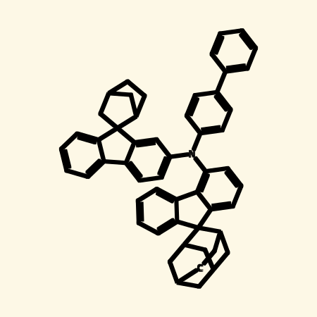 c1ccc(-c2ccc(N(c3ccc4c(c3)C3(CC5CCC3C5)c3ccccc3-4)c3cccc4c3-c3ccccc3C43C4CCC5CC(C4)CC3C5)cc2)cc1